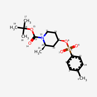 Cc1ccc(S(=O)(=O)O[C@@H]2CCN(C(=O)OC(C)(C)C)[C@H](C)C2)cc1